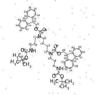 CC(C)(C)OC(=O)NCCCN(CCCCN(CCCNC(=O)OC(C)(C)C)C(=O)OCC1c2ccccc2-c2ccccc21)C(=O)OCC1c2ccccc2-c2ccccc21